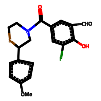 COc1ccc(C2CN(C(=O)c3cc(F)c(O)c(C=O)c3)CCS2)cc1